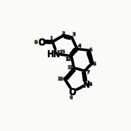 O=c1ccc2ccc3nocc3c2[nH]1